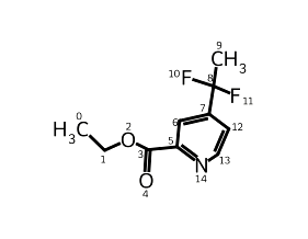 CCOC(=O)c1cc(C(C)(F)F)ccn1